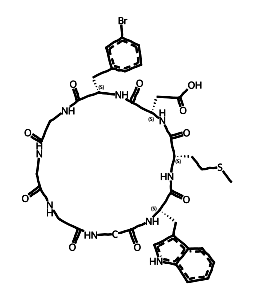 CSCC[C@@H]1NC(=O)[C@H](Cc2c[nH]c3ccccc23)NC(=O)CNC(=O)CNC(=O)CNC(=O)CNC(=O)[C@H](Cc2cccc(Br)c2)NC(=O)[C@H](CC(=O)O)NC1=O